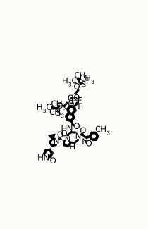 Cc1ccc2onc(C(=O)N3CC[C@H]4CC[C@@H](C(=O)N5C[C@H](c6cc[nH]c(=O)c6)CC56CC6)N4C(=O)[C@@H](NC(=O)c4ccc5ccc(C(F)(F)P(=O)(OCCOC(=S)C(C)(C)C)OCCOC(=S)C(C)(C)C)cc5c4)C3)c2c1